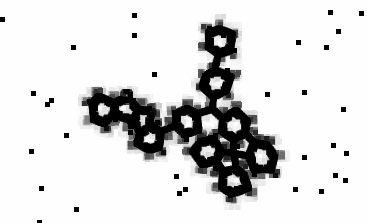 c1ccc(-c2ccc(C(c3ccc(-c4cccc5c4sc4oc6ccccc6c45)cc3)c3ccc4c(c3)C3(c5ccccc5-c5ccccc53)c3ccccc3-4)cc2)cc1